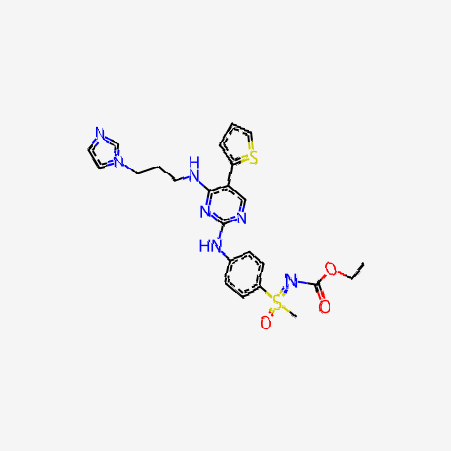 CCOC(=O)N=S(C)(=O)c1ccc(Nc2ncc(-c3cccs3)c(NCCCn3ccnc3)n2)cc1